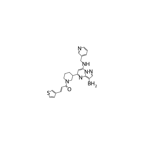 Bc1cnn2c(NCc3cccnc3)cc(C3CCCN(C(=O)/C=C/c4ccsc4)C3)nc12